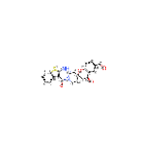 Nc1sc2ccccc2c1C(=O)N1CCC2(CC1)CC(=O)c1cc(C=O)ccc1O2